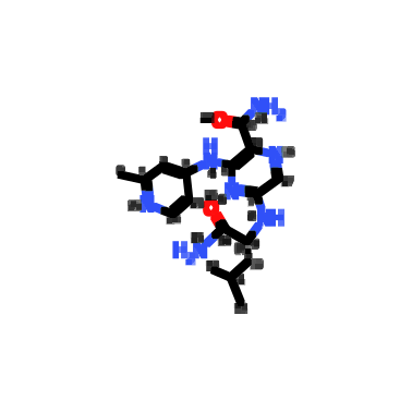 Cc1cc(Nc2nc(N[C@H](CC(C)C)C(N)=O)cnc2C(N)=O)ccn1